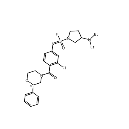 CCN(CC)C1CCN(S(=O)(F)=Nc2ccc(C(=O)N3CCO[C@@H](c4ccccc4)C3)c(Cl)c2)C1